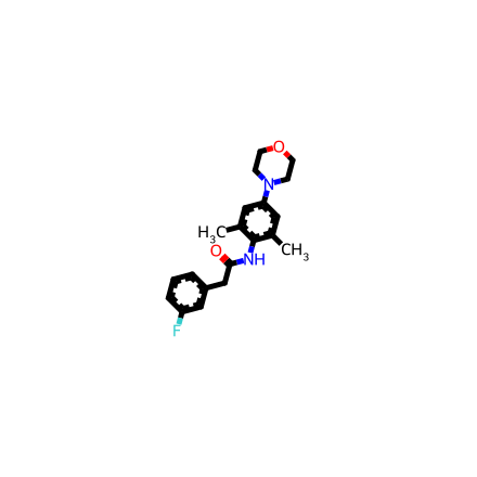 Cc1cc(N2CCOCC2)cc(C)c1NC(=O)Cc1cccc(F)c1